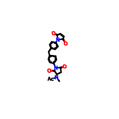 CC(=O)N(C)C1CC(=O)N(c2ccc(Cc3ccc(N4C(=O)C=CC4=O)cc3)cc2)C1=O